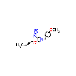 CCC#CCO[C@@H]1CN(Cc2ccc(OC)cc2)C[C@H]1N=[N+]=[N-]